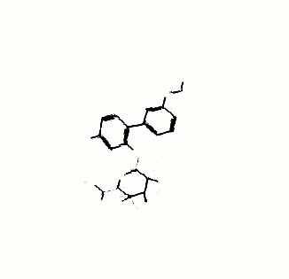 CCOC(=O)COc1cccc(-c2ccc(C)cc2O[C@@H]2O[C@H](C(O)C(C)=O)[C@](O)(C(C)=O)[C@@](O)(C(C)=O)[C@@]2(O)C(C)=O)c1